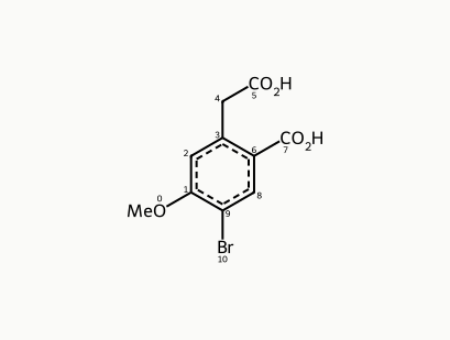 COc1cc(CC(=O)O)c(C(=O)O)cc1Br